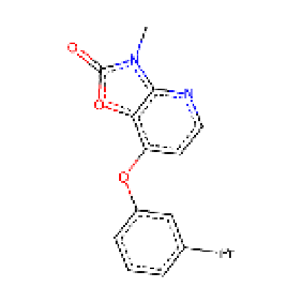 CC(C)c1cccc(Oc2ccnc3c2oc(=O)n3C)c1